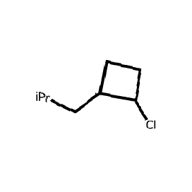 CC(C)C[C]1CCC1Cl